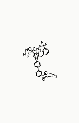 CCS(=O)(=O)c1cccc(-c2ccc(-n3cc(C(C)(C)O)nc3Cc3cccc(C(F)(F)F)c3)cc2)c1